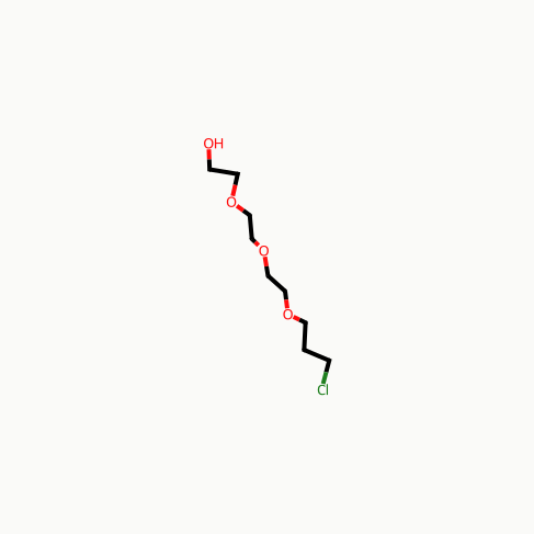 OCCOCCOCCOCCCCl